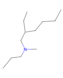 [CH2]CCN(C)CC(CC)CCCC